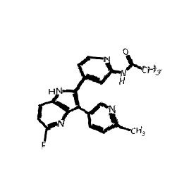 CC(=O)Nc1cc(-c2[nH]c3ccc(F)nc3c2-c2ccc(C)nc2)ccn1